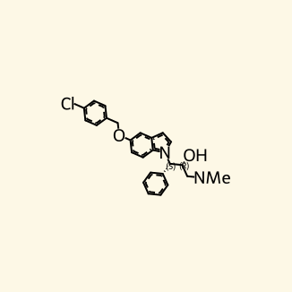 CNC[C@@H](O)[C@H](c1ccccc1)n1ccc2cc(OCc3ccc(Cl)cc3)ccc21